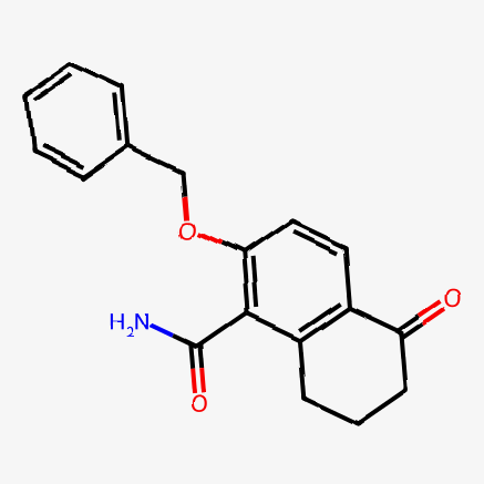 NC(=O)c1c(OCc2ccccc2)ccc2c1CCCC2=O